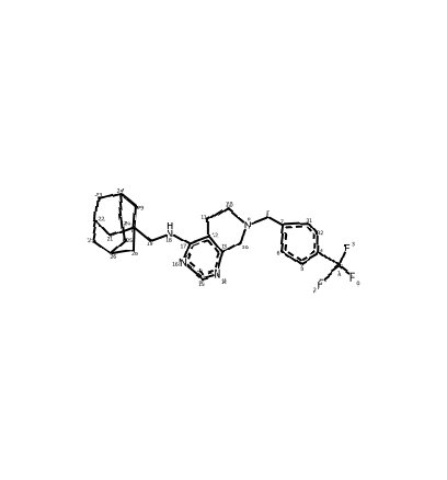 FC(F)(F)c1ccc(CN2CCc3c(ncnc3NCC34CC5CC(CC(C5)C3)C4)C2)cc1